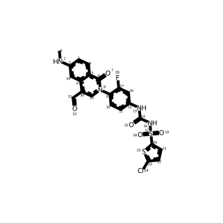 CNc1ccc2c(=O)n(-c3ccc(NC(=O)NS(=O)(=O)c4ccc(Cl)s4)cc3F)cc(C=O)c2c1